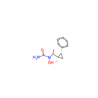 CC(N(O)C(N)=O)[C@]1(C)C[C@H]1c1ccccc1